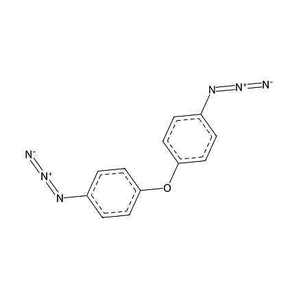 [N-]=[N+]=Nc1ccc(Oc2ccc(N=[N+]=[N-])cc2)cc1